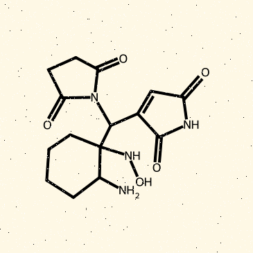 NC1CCCCC1(NO)C(C1=CC(=O)NC1=O)N1C(=O)CCC1=O